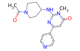 CC(=O)N1CCC(Nc2nc(-c3ccncc3)cc(=O)n2C)CC1